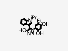 CCc1cc(-n2nnc(O)c2-c2cn(C(C)C)c3ccccc23)c(O)cc1O